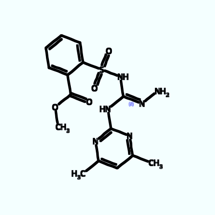 COC(=O)c1ccccc1S(=O)(=O)N/C(=N\N)Nc1nc(C)cc(C)n1